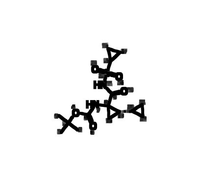 CC(C)(C)OC(=O)NC1(C(=O)NS(=O)(=O)C2CC2)C[C@H]1C1CC1